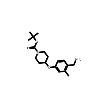 Cc1cc(OC2CCN(C(=O)OC(C)(C)C)CC2)ccc1CN